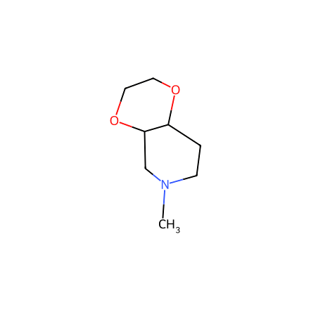 CN1CCC2OCCOC2C1